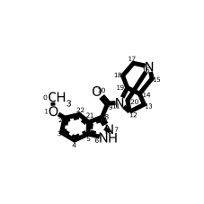 COc1ccc2[nH]nc(C(=O)N3C4CC5CN(CCC53)C4)c2c1